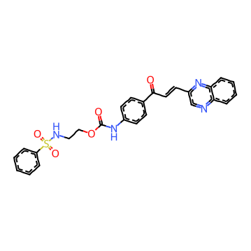 O=C(Nc1ccc(C(=O)/C=C/c2cnc3ccccc3n2)cc1)OCCNS(=O)(=O)c1ccccc1